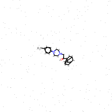 O=C(CN1CCN(c2ccc([N+](=O)[O-])cc2)CC1)C12CC3CC(CC(C3)C1)C2